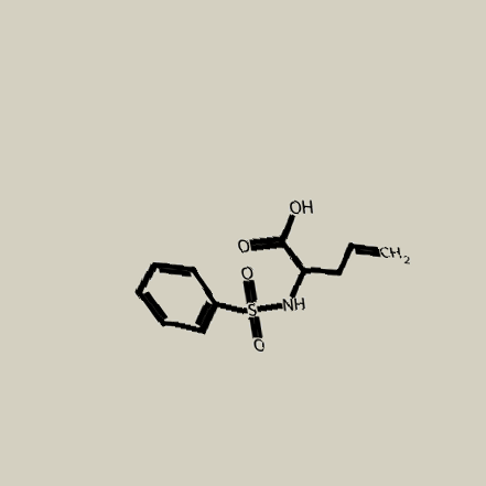 C=CCC(NS(=O)(=O)c1ccccc1)C(=O)O